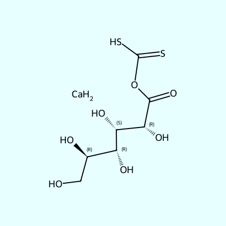 O=C(OC(=S)S)[C@H](O)[C@@H](O)[C@H](O)[C@H](O)CO.[CaH2]